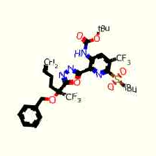 C=CCCC(OCc1ccccc1)(c1nnc(-c2nc(S(=O)(=O)C(C)CC)c(C(F)(F)F)cc2NC(=O)OC(C)(C)C)o1)C(F)(F)F